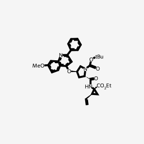 C=C[C@@H]1C[C@]1(NC(=O)[C@@H]1C[C@@H](Oc2cc(-c3ccccc3)nc3cc(OC)ccc23)CN1C(=O)OC(C)(C)C)C(=O)OCC